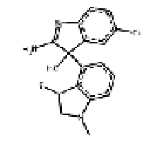 CN1CC(F)c2c1cccc2C1(O)C(N)=Nc2ccc(Cl)cc21